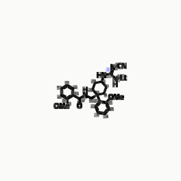 CCN/C(=N\C#N)N[C@H]1CC[C@](CNC(=O)c2ccccc2OC)(c2ccccc2OC)CC1